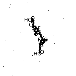 COc1cc2sc(/C=C/CC(=O)O)cc2c(F)c1OCCCOc1c(OC)cc2sc(C(=O)CC(C)(C)C(=O)O)cc2c1F